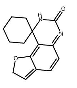 O=C1N=c2ccc3c(c2C2(CCCCC2)N1)OCC=3